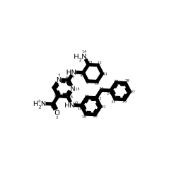 NC(=O)c1cnc(NC2CCCCC2N)nc1Nc1cccc(Cc2ccccc2)c1